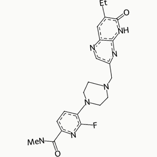 CCc1cc2ncc(CN3CCN(c4ccc(C(=O)NC)nc4F)CC3)nc2[nH]c1=O